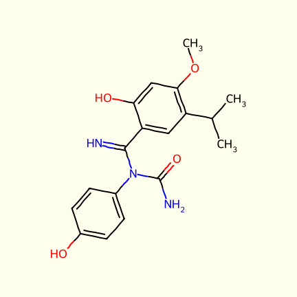 COc1cc(O)c(C(=N)N(C(N)=O)c2ccc(O)cc2)cc1C(C)C